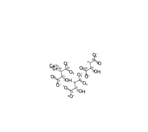 O=C([O-])CC(O)C(=O)[O-].O=C([O-])CC(O)C(=O)[O-].O=C([O-])CC(O)C(=O)[O-].[Ce+3].[Ce+3]